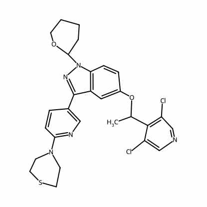 CC(Oc1ccc2c(c1)c(-c1ccc(N3CCSCC3)nc1)nn2C1CCCCO1)c1c(Cl)cncc1Cl